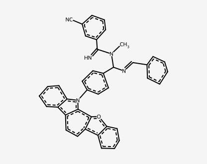 CN(C(=N)c1cccc(C#N)c1)C(/N=C/c1ccccc1)c1ccc(-n2c3ccccc3c3ccc4c5ccccc5oc4c32)cc1